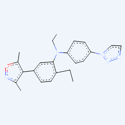 CCc1ccc(-c2c(C)noc2C)cc1N(CC)c1ccc(-n2ccnn2)cc1